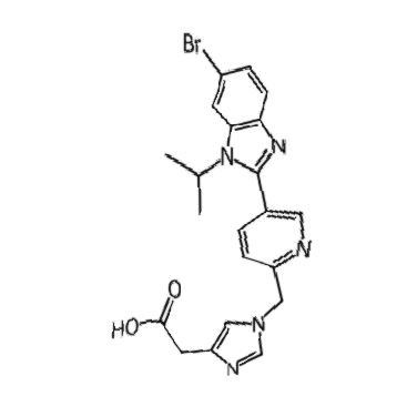 CC(C)n1c(-c2ccc(Cn3cnc(CC(=O)O)c3)nc2)nc2ccc(Br)cc21